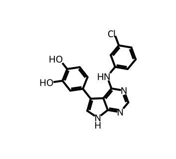 Oc1ccc(-c2c[nH]c3ncnc(Nc4cccc(Cl)c4)c23)cc1O